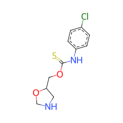 S=C(Nc1ccc(Cl)cc1)OCC1CNCO1